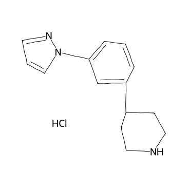 Cl.c1cc(C2CCNCC2)cc(-n2cccn2)c1